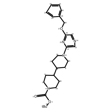 CC(C)(C)OC(=O)N1CCC(C2CCN(c3cncc(OCc4ccccc4)n3)CC2)CC1